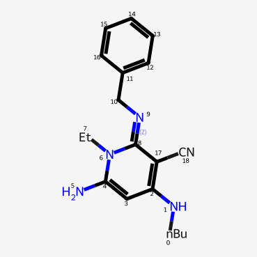 CCCCNc1cc(N)n(CC)/c(=N\Cc2ccccc2)c1C#N